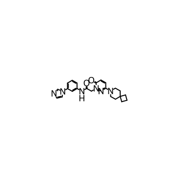 O=C(Cn1nc(N2CCC3(CCC3)CC2)ccc1=O)Nc1cccc(-n2ccnc2)c1